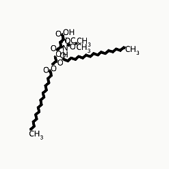 CCCCCCCCCCCCCCCCCC(=O)OCC(COC(=O)C(CCC(=O)O)NC(=O)OC(C)(C)C)OC(=O)CCCCCCCCCCCCCCCCC